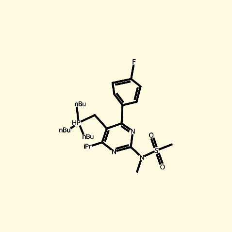 CCCC[PH](CCCC)(CCCC)Cc1c(-c2ccc(F)cc2)nc(N(C)S(C)(=O)=O)nc1C(C)C